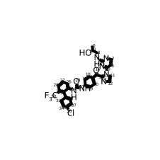 CC(O)CNc1nccc(-n2ccnc2C(=O)c2ccc(NC(=O)Nc3cccc(C(F)(F)F)c3-c3ccc(Cl)cc3)cc2)n1